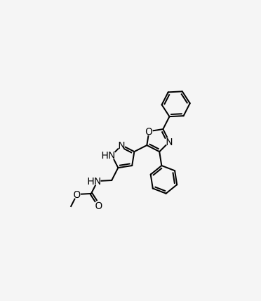 COC(=O)NCc1cc(-c2oc(-c3ccccc3)nc2-c2ccccc2)n[nH]1